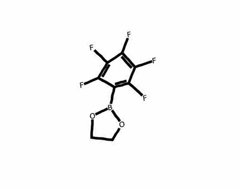 Fc1c(F)c(F)c(B2OCCO2)c(F)c1F